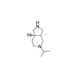 CC(C)N1CC[C@@H]2CNC[C@@]2(C)C1